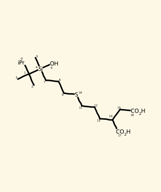 CC(C)C(C)(C)[Si](C)(O)CCCSCCCC(CC(=O)O)C(=O)O